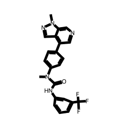 CN(C(=O)Nc1cccc(C(F)(F)F)c1)c1ccc(-c2cncc3c2cnn3C)cc1